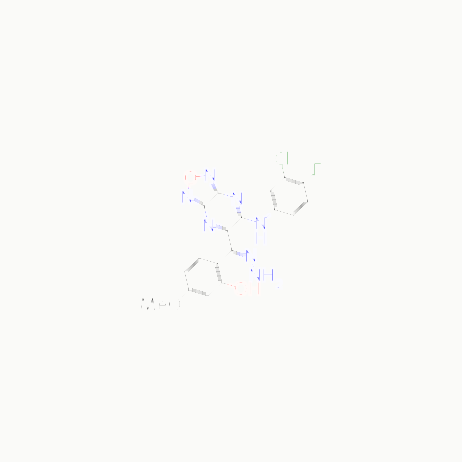 COc1ccc(C(=NN)c2nc3nonc3nc2Nc2ccc(F)c(Cl)c2)c(O)c1